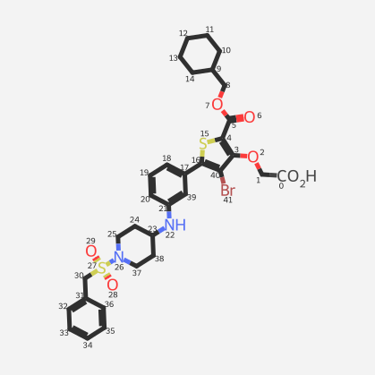 O=C(O)COc1c(C(=O)OCC2CCCCC2)sc(-c2cccc(NC3CCN(S(=O)(=O)Cc4ccccc4)CC3)c2)c1Br